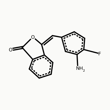 Nc1cc(/C=C2/OC(=O)c3ccccc32)ccc1F